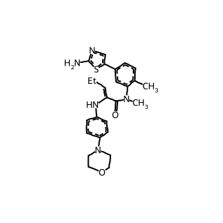 CC/C=C(\Nc1ccc(N2CCOCC2)cc1)C(=O)N(C)c1cc(-c2cnc(N)s2)ccc1C